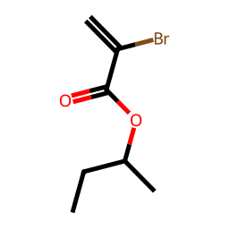 C=C(Br)C(=O)OC(C)CC